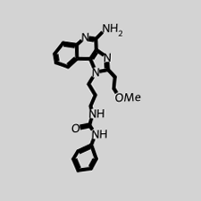 COCCc1nc2c(N)nc3ccccc3c2n1CCCNC(=O)Nc1ccccc1